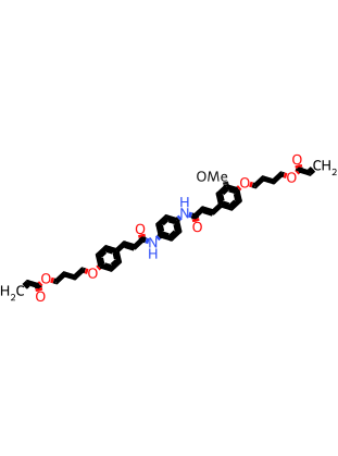 C=CC(=O)OCCCCOc1ccc(/C=C/C(=O)Nc2ccc(NC(=O)/C=C/c3ccc(OCCCCOC(=O)C=C)c(OC)c3)cc2)cc1